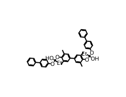 CCC(O)(Oc1ccc(-c2ccccc2)cc1)Oc1c(C)cc(-c2cc(C)c(OC(O)(CC)Oc3ccc(-c4ccccc4)cc3)c(C)c2)cc1C